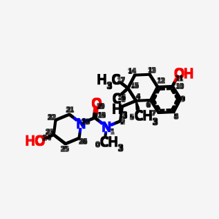 CN(CC[C@@]1(C)c2cccc(O)c2CCC1(C)C)C(=O)N1CCC(O)CC1